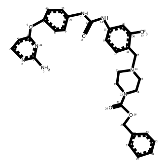 Nc1nccc(Oc2ccc(NC(=O)Nc3ccc(CN4CCN(C(=O)OCc5ccccc5)CC4)c(C(F)(F)F)c3)cc2)n1